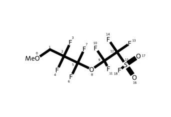 COCC(F)(F)C(F)(F)OC(F)(F)C(F)(F)S(=O)(=O)F